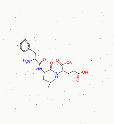 CC(C)CC(NC(=O)C(N)Cc1ccccc1)C(=O)NC(CCC(=O)O)C(=O)O